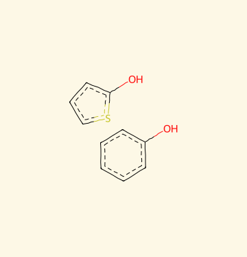 Oc1ccccc1.Oc1cccs1